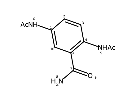 CC(=O)Nc1ccc(NC(C)=O)c(C(N)=O)c1